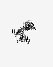 CC(C)(C)OC(=O)N1Cc2cc(Nc3ncc4cc(C#N)c(=O)n(C5CCCC5)c4n3)ccc2C(C)(C)C1